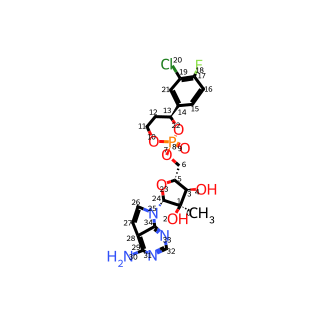 C[C@@]1(O)[C@H](O)[C@@H](CO[P@@]2(=O)OCC[C@@H](c3ccc(F)c(Cl)c3)O2)O[C@H]1n1ccc2c(N)ncnc21